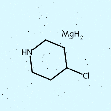 ClC1CCNCC1.[MgH2]